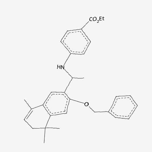 CCOC(=O)c1ccc(NC(C)c2cc3c(cc2OCc2ccccc2)C(C)(C)CC=C3C)cc1